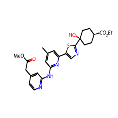 CCOC(=O)[C@H]1CC[C@](O)(c2ncc(-c3cc(C)cc(Nc4cc(CC(=O)OC)ccn4)n3)s2)CC1